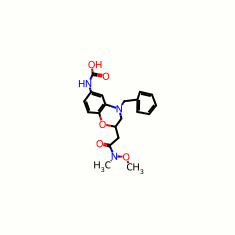 CON(C)C(=O)CC1CN(Cc2ccccc2)c2cc(NC(=O)O)ccc2O1